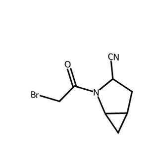 N#CC1CC2CC2N1C(=O)CBr